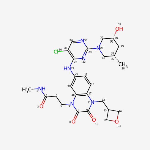 CNC(=O)CCn1c(=O)c(=O)n(CC2COC2)c2ccc(Nc3nc(N4C[C@@H](C)C[C@@H](O)C4)ncc3Cl)cc21